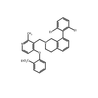 CCOC(=O)c1ccccc1Oc1ccnc(C)c1CN1CCc2cccc(-c3c(CC)cccc3CC)c2C1